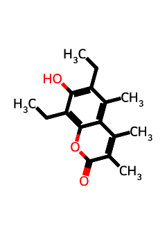 CCc1c(O)c(CC)c2oc(=O)c(C)c(C)c2c1C